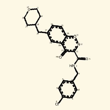 O=C(NCc1ccc(Cl)cc1)c1noc2ccc(CC3CCOCC3)cc2c1=O